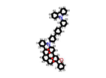 c1cc(-c2ccc(-c3ccc(N(c4ccc(-c5ccc6c(c5)oc5ccccc56)cc4)c4ccccc4-c4ccc5c(ccc6ccccc65)c4)cc3)cc2)cc(-n2c3ccccc3c3ccccc32)c1